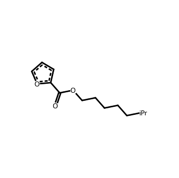 CC(C)CCCCCOC(=O)c1ccco1